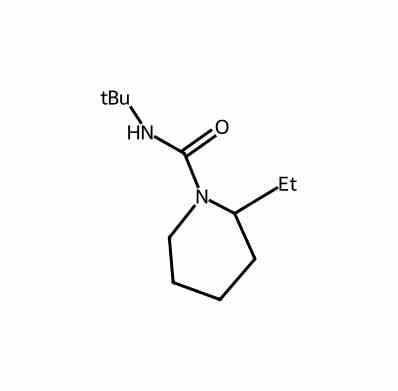 CCC1CCCCN1C(=O)NC(C)(C)C